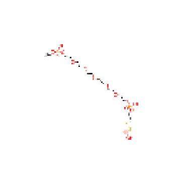 CC(C)(C)OP(=O)(O)OCCOCCOCCOCCOCCOCCOP(=O)(O)OCCSSBO